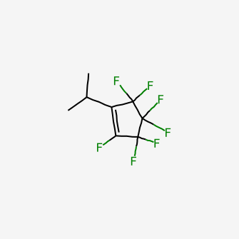 CC(C)C1=C(F)C(F)(F)C(F)(F)C1(F)F